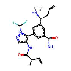 C=CC[C@H](NC(=O)O)c1cc(C(N)=O)cc(-c2c(NC(=O)[C@H](C)C=C)cnn2C(F)F)c1